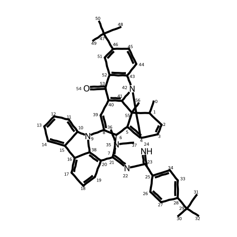 CC1C=CC2=C3[C@@H](C)C(n4c5ccccc5c5cccc(/C(=N/C(=N)c6ccc(C(C)(C)C)cc6)N(C)C)c54)=Cc4c(n2c2ccc(C(C)(C)C)cc2c4=O)C31C